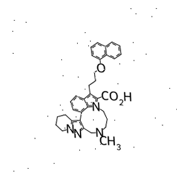 CN1CCCn2c(C(=O)O)c(CCCOc3cccc4ccccc34)c3cccc(c32)-c2c(nn3c2CCCC3)C1